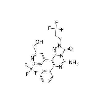 Nc1nc(-c2ccccc2)c(-c2cc(CO)nc(C(F)(F)F)c2)c2nn(CCC(F)(F)F)c(=O)n12